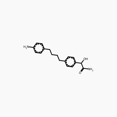 NC(=O)C(O)c1ccc(CCCCc2ccc(N)cc2)cc1